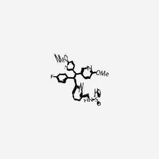 COc1ccc(C(c2ccc(OC)nc2)C(c2ccc(F)cc2)c2cccc(CN[SH](=O)=O)n2)cn1